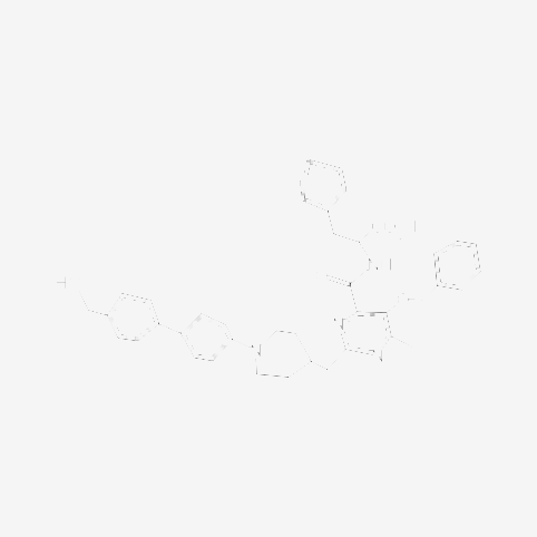 Cc1nc(CC2CCN(c3ccc(-c4ccc(CO)cc4)cc3)CC2)nc(C(=O)NC(Cc2ccccc2)C(=O)O)c1OCc1ccccc1